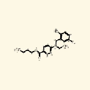 CCCCOC(=O)c1ccc(N(CC)Cc2cc(F)ccc2O)nn1